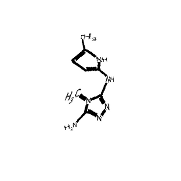 Cc1ccc(Nc2nnc(N)n2C)[nH]1